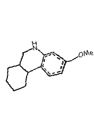 COc1ccc2c(c1)NCC1CCCCC21